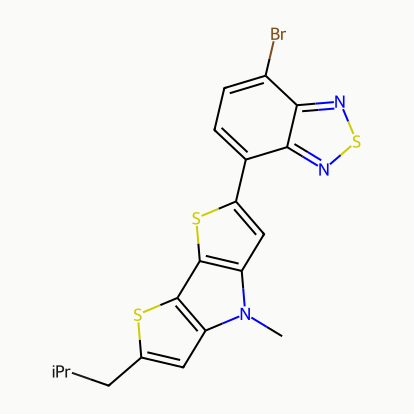 CC(C)Cc1cc2c(s1)c1sc(-c3ccc(Br)c4nsnc34)cc1n2C